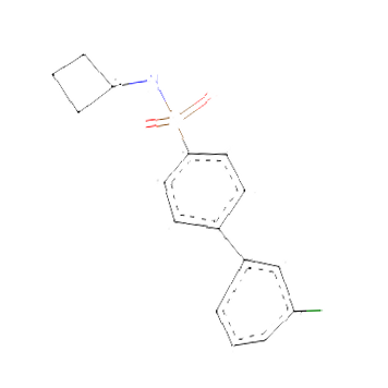 O=S(=O)(NC1CCC1)c1ccc(-c2cccc(F)c2)cc1